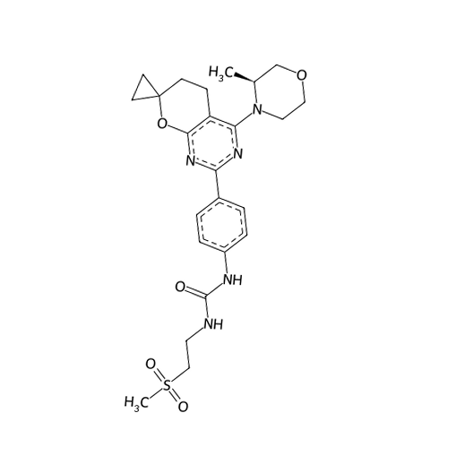 C[C@H]1COCCN1c1nc(-c2ccc(NC(=O)NCCS(C)(=O)=O)cc2)nc2c1CCC1(CC1)O2